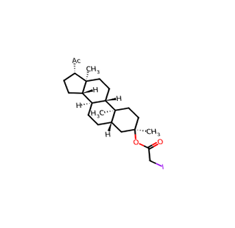 CC(=O)[C@H]1CC[C@H]2[C@@H]3CC[C@H]4C[C@](C)(OC(=O)CI)CC[C@]4(C)[C@H]3CC[C@]12C